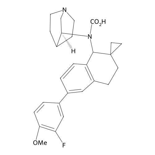 COc1ccc(-c2ccc3c(c2)CCC2(CC2)C3N(C(=O)O)[C@@H]2CN3CCC2CC3)cc1F